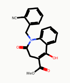 COC(=O)C1=C(O)c2ccccc2N(Cc2ccccc2C#N)C(=O)C1